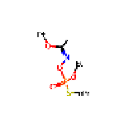 CCCSP(=O)(OCC)ON=C(C)OCC